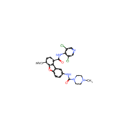 COc1ccc(C(=O)Nc2c(Cl)cncc2Cl)c2c1oc1ccc(NC(=O)N3CCN(C)CC3)cc12